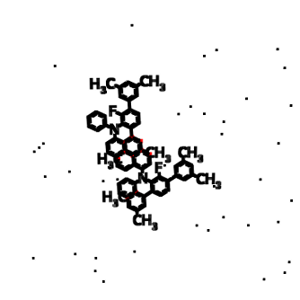 Cc1cc(C)cc(-c2ccc(-c3cc(C)cc(C)c3)c(N(c3ccccc3)c3ccc4ccc5c(N(c6ccccc6)c6c(-c7cc(C)cc(C)c7)ccc(-c7cc(C)cc(C)c7)c6F)ccc6ccc3c4c65)c2F)c1